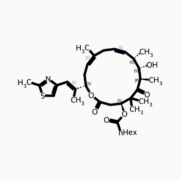 CCCCCCC(=O)O[C@H]1CC(=O)O[C@H](/C(C)=C/c2csc(C)n2)C/C=C(/C)C/C=C\[C@H](C)[C@H](O)[C@@H](C)C(=O)C1(C)C